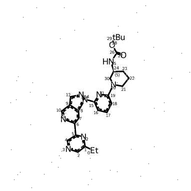 CCc1cncc(-c2cc3c(cn2)cnn3-c2cccc(N3CCC[C@H](NC(=O)OC(C)(C)C)C3)n2)n1